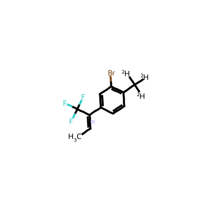 [2H]C([2H])([2H])c1ccc(/C(=C/C)C(F)(F)F)cc1Br